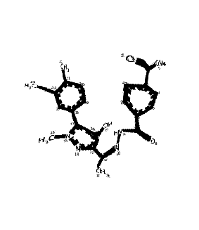 COC(=O)c1ccc(C(=O)N/N=C(/C)c2nn(C)c(-c3ccc(C)c(C)c3)c2O)cc1